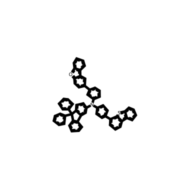 c1ccc(C2(c3ccccc3)c3ccccc3-c3cc(N(c4ccc(-c5cccc6c5sc5ccccc56)cc4)c4cccc(-c5ccc6oc7ccccc7c6c5)c4)ccc32)cc1